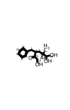 CC(=O)C(C)(CC(Cc1ccccc1)C(=O)CO)C(O)O